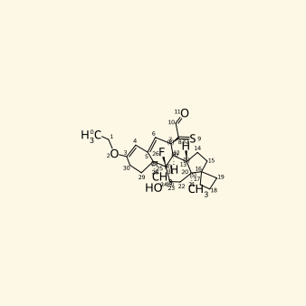 CCOC1=CC2=C[C@@H](C(=S)C=O)[C@H]3[C@@H]4CCC5(CCC5)[C@@]4(C)C[C@H](O)[C@]3(F)[C@@]2(C)CC1